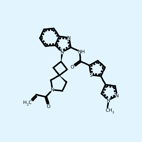 C=CC(=O)N1CC[C@]2(C1)C[C@H](n1c(NC(=O)c3ccc(-c4cnn(C)c4)s3)nc3ccccc31)C2